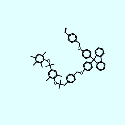 C=Cc1ccc(COc2ccc(C3(c4ccc(OCc5ccc(CC(C)(C)Oc6c(C)cc(C(C)(C)Oc7c(C)cc(C)c(C)c7C)cc6C)cc5)cc4)c4ccccc4-c4ccccc43)cc2)cc1